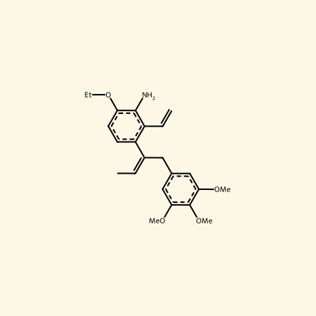 C=Cc1c(/C(=C\C)Cc2cc(OC)c(OC)c(OC)c2)ccc(OCC)c1N